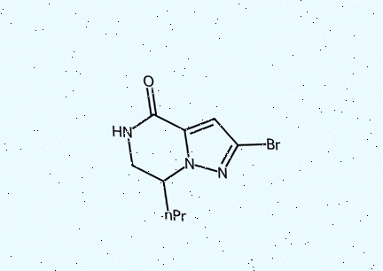 CCCC1CNC(=O)c2cc(Br)nn21